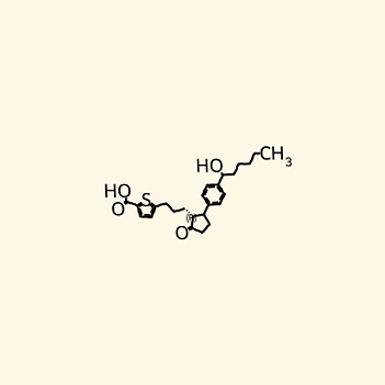 CCCCCC(O)c1ccc(C2CCC(=O)[C@@H]2CCCc2ccc(C(=O)O)s2)cc1